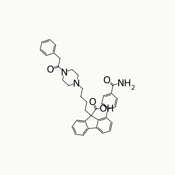 NC(=O)c1ccc(-c2cccc3c2C(CCCCN2CCN(C(=O)Cc4ccccc4)CC2)(C(=O)O)c2ccccc2-3)cc1